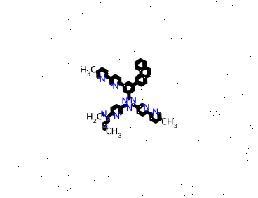 C=N/C(=C\C=C/C)c1ccc(-c2nc(-c3ccc(-c4ccc(C)cn4)nc3)nc(-c3cc(-c4ccc5ccc6ccccc6c5c4)cc(-c4ccc(-c5ccc(C)cn5)cn4)c3)n2)cn1